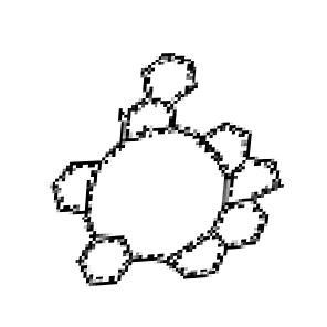 c1cc2cc(c1)c1ccc3ccc4ccc5ccc(cc5c4c3c1)c1nc(nc3ccccc31)c1cccc2c1